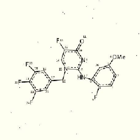 COc1ccc(F)c(Nc2nc(=O)c(F)cn2Cc2cc(F)c(F)c(F)c2)c1